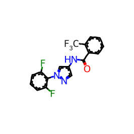 O=C(Nc1cnn(-c2c(F)cccc2F)c1)c1ccccc1C(F)(F)F